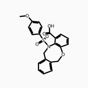 COc1ccc(S(=O)(=O)N2Cc3ccccc3COc3cccc(C(=O)O)c32)cc1